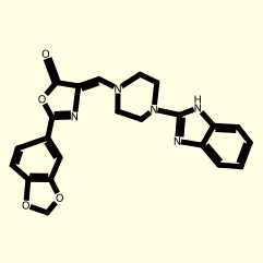 O=C1OC(c2ccc3c(c2)OCO3)=NC1=CN1CCN(c2nc3ccccc3[nH]2)CC1